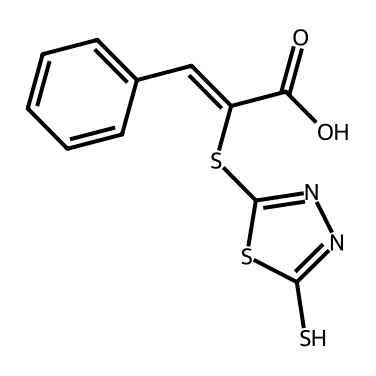 O=C(O)C(=Cc1ccccc1)Sc1nnc(S)s1